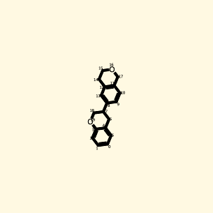 c1ccc2c(c1)CC(c1ccc3c(c1)CCOC3)CO2